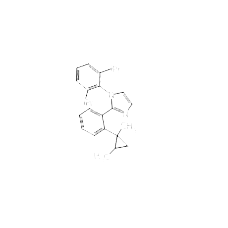 CC(C)c1cccc(C(C)C)c1-n1ccnc1-c1ccccc1C1(C)CC1C